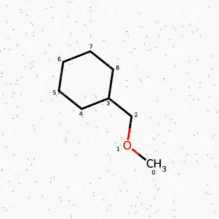 COCC1C[CH]CCC1